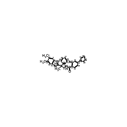 Cc1cc2nc(C(C)(CNC(=O)c3ccc(-n4cnnc4)cc3Cl)c3ccccc3)[nH]c2cc1C